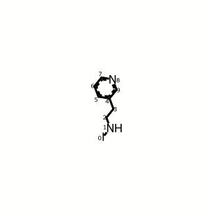 INCCc1cccnc1